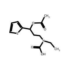 CCN(CCC(OC(C)=O)c1cccs1)C(=O)O